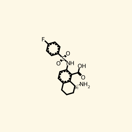 N[C@@H]1CCCc2ccc(NS(=O)(=O)c3ccc(F)cc3)c(C(=O)O)c21